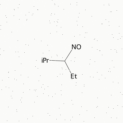 CCC(N=O)C(C)C